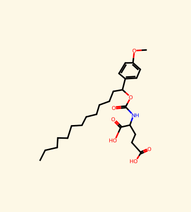 CCCCCCCCCCCCC(OC(=O)NC(CCC(=O)O)C(=O)O)c1ccc(OC)cc1